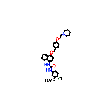 COc1cc(NC(=O)Nc2ccc(OCc3ccc(OCCN4CCCCC4)cc3)c3ccccc23)ccc1Cl